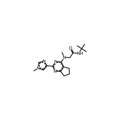 CN(CC(=O)NC(C)(C)C)c1nc(-c2cn(C)cn2)nc2c1CCC2